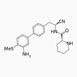 CSc1ccc(-c2ccc(C[C@@H](C#N)NC(=O)[C@@H]3CCCCN3)cc2)cc1N